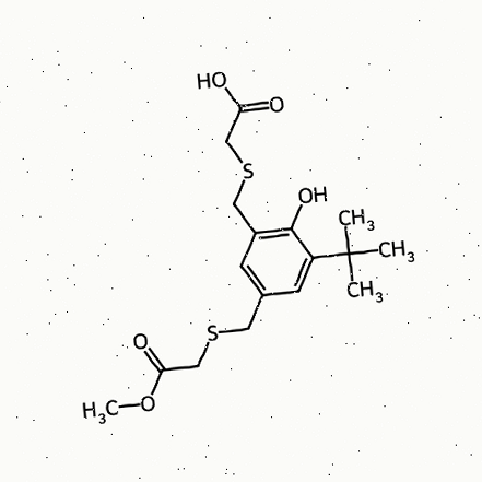 COC(=O)CSCc1cc(CSCC(=O)O)c(O)c(C(C)(C)C)c1